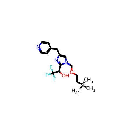 C[Si](C)(C)CCOCn1cc(Cc2ccncc2)nc1C(O)C(F)(F)F